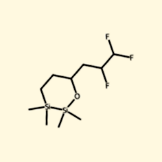 C[Si]1(C)CCC(CC(F)C(F)F)O[Si]1(C)C